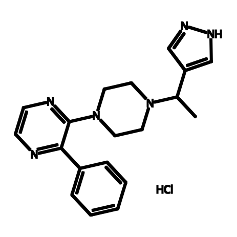 CC(c1cn[nH]c1)N1CCN(c2nccnc2-c2ccccc2)CC1.Cl